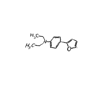 CCN(CC)c1ccc(-c2cc[c]o2)cc1